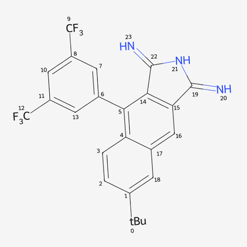 CC(C)(C)c1ccc2c(-c3cc(C(F)(F)F)cc(C(F)(F)F)c3)c3c(cc2c1)C(=N)NC3=N